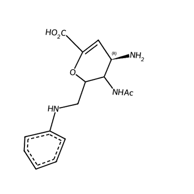 CC(=O)NC1C(CNc2ccccc2)OC(C(=O)O)=C[C@H]1N